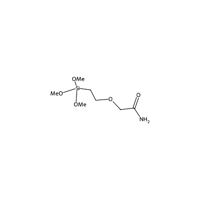 CO[Si](CCOCC(N)=O)(OC)OC